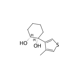 Cc1cscc1[C@]1(O)CCCC[C@H]1O